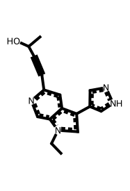 CCn1cc(-c2cn[nH]c2)c2cc(C#CC(C)O)ncc21